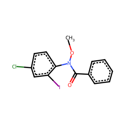 CON(C(=O)c1ccccc1)c1ccc(Cl)cc1I